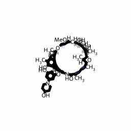 CO[C@H]1/C=C/O[C@@]2(C)Oc3c(C)c(O)c4c(=O)c(c5oc6cc(N7CCC(O)CC7)cc(O)c6nc-5c4c3C2=O)NC(=O)/C(C)=C\C=C\[C@]2(C)O[C@H]([C@@H](C)[C@@H](O)[C@@H](C)[C@H](O)C1)[C@H]2C